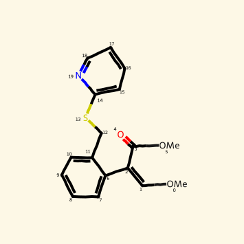 COC=C(C(=O)OC)c1ccccc1CSc1ccccn1